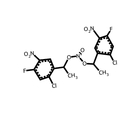 CC(O[N+](=O)OC(C)c1cc([N+](=O)[O-])c(F)cc1Cl)c1cc([N+](=O)[O-])c(F)cc1Cl